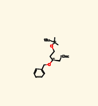 CCCCCCCCCCC[C@H](CCO[Si](C)(C)C(C)(C)C)OCc1ccccc1